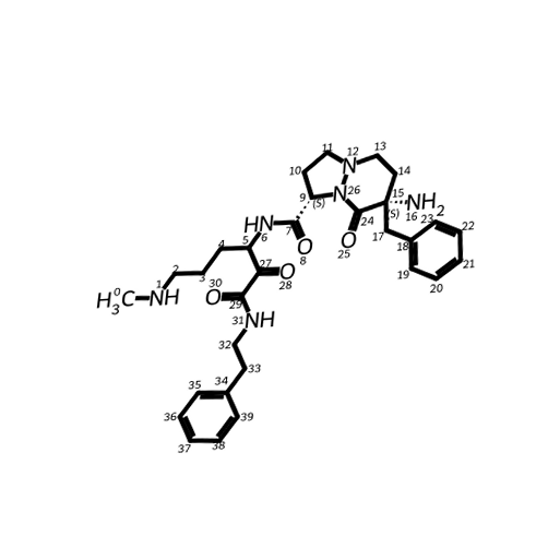 CNCCCC(NC(=O)[C@@H]1CCN2CC[C@@](N)(Cc3ccccc3)C(=O)N12)C(=O)C(=O)NCCc1ccccc1